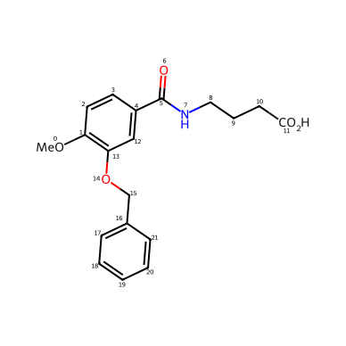 COc1ccc(C(=O)NCCCC(=O)O)cc1OCc1ccccc1